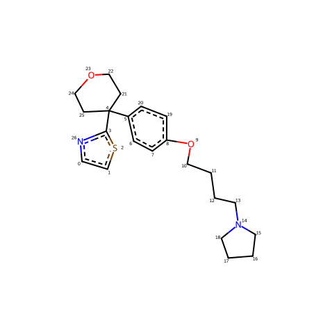 c1csc(C2(c3ccc(OCCCCN4CCCC4)cc3)CCOCC2)n1